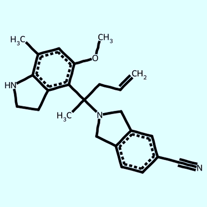 C=CCC(C)(c1c(OC)cc(C)c2c1CCN2)N1Cc2ccc(C#N)cc2C1